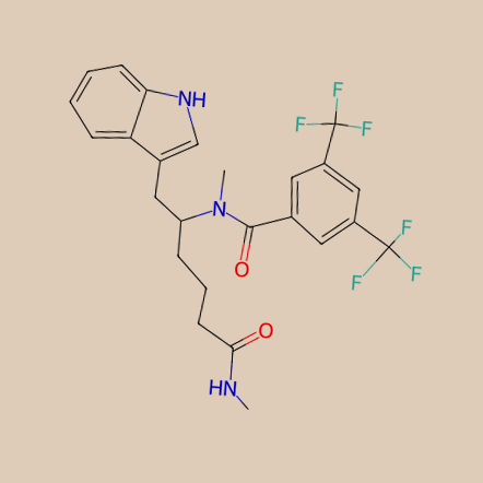 CNC(=O)CCCC(Cc1c[nH]c2ccccc12)N(C)C(=O)c1cc(C(F)(F)F)cc(C(F)(F)F)c1